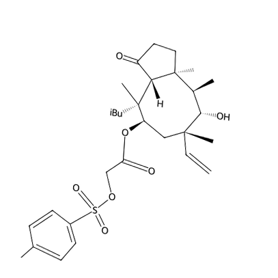 C=C[C@]1(C)C[C@@H](OC(=O)COS(=O)(=O)c2ccc(C)cc2)[C@](C)(C(C)CC)[C@@H]2C(=O)CC[C@@]2(C)[C@@H](C)[C@@H]1O